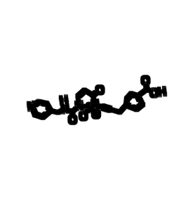 O=C(O)c1ccc(CC#CN2C(=O)C=CN(C(=O)NCc3ccncc3)S2(=O)=O)cc1